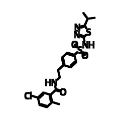 Cc1ccc(Cl)cc1C(=O)NCCc1ccc(S(=O)(=O)Nc2nnc(C(C)C)s2)cc1